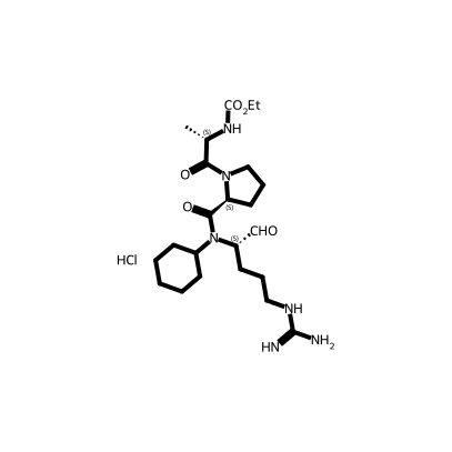 CCOC(=O)N[C@@H](C)C(=O)N1CCC[C@H]1C(=O)N(C1CCCCC1)[C@H](C=O)CCCNC(=N)N.Cl